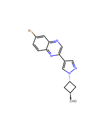 O=C[C@H]1C[C@H](n2cc(-c3cnc4cc(Br)ccc4n3)cn2)C1